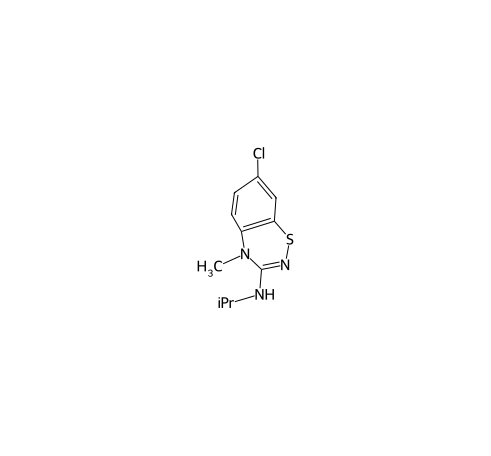 CC(C)NC1=NSc2cc(Cl)ccc2N1C